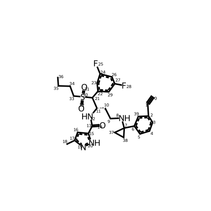 C#Cc1cccc(C2(NC[CH][C@H](NC(=O)c3cc(C)n[nH]3)C(c3cc(F)cc(F)c3)S(=O)(=O)CCCC)CC2)c1